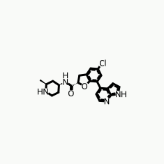 C[C@H]1C[C@H](NC(=O)[C@@H]2Cc3cc(Cl)cc(-c4ccnc5[nH]ccc45)c3O2)CCN1